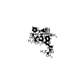 CC[C@@H]1C[C@]1(NC(=O)[C@@H]1C[C@@H](Oc2cc(-c3csc(NC(C)C)n3)nc3cc(OC)ccc23)CN1C(=O)C(NC(=O)OC1CCCC1)C(C)(C)C)P(=O)(O)O